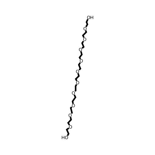 OCCOCCOCCOCCOCCOCCOCCOCCOCCOCCOCCO